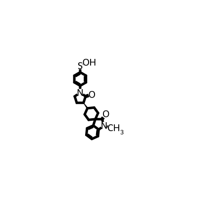 CN1C(=O)C2(CCC([C@H]3CCN(c4ccc(SO)cc4)C3=O)CC2)c2ccccc21